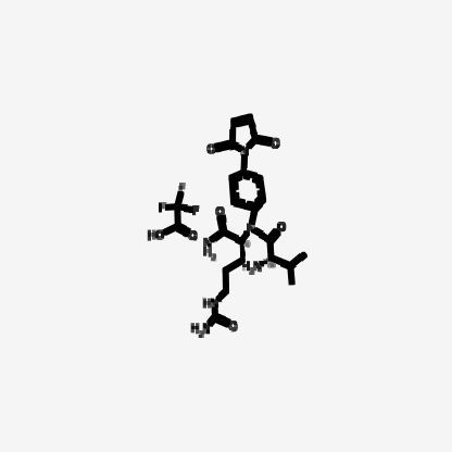 CC(C)[C@H](N)C(=O)N(c1ccc(N2C(=O)C=CC2=O)cc1)[C@@H](CCCNC(N)=O)C(N)=O.O=C(O)C(F)(F)F